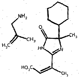 C/C(=C/C(=O)O)C1=NC(C)(C2CCCCC2)C(=O)N1.C=C(C)CN